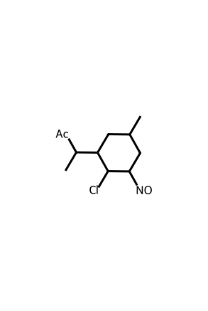 CC(=O)C(C)C1CC(C)CC(N=O)C1Cl